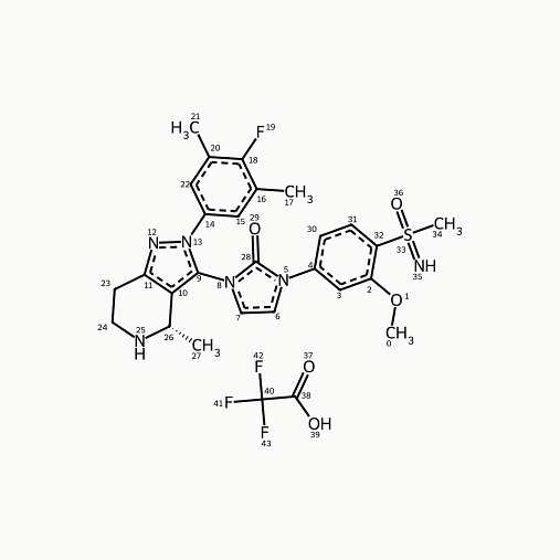 COc1cc(-n2ccn(-c3c4c(nn3-c3cc(C)c(F)c(C)c3)CCN[C@H]4C)c2=O)ccc1S(C)(=N)=O.O=C(O)C(F)(F)F